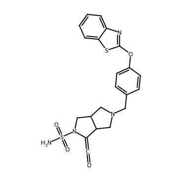 NS(=O)(=O)N1CC2CN(Cc3ccc(Oc4nc5ccccc5s4)cc3)CC2C1=C=O